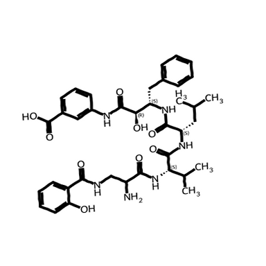 CC(C)C[C@H](NC(=O)[C@@H](NC(=O)C(N)CNC(=O)c1ccccc1O)C(C)C)C(=O)N[C@@H](Cc1ccccc1)[C@@H](O)C(=O)Nc1cccc(C(=O)O)c1